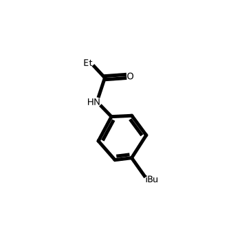 CCC(=O)Nc1ccc(C(C)CC)cc1